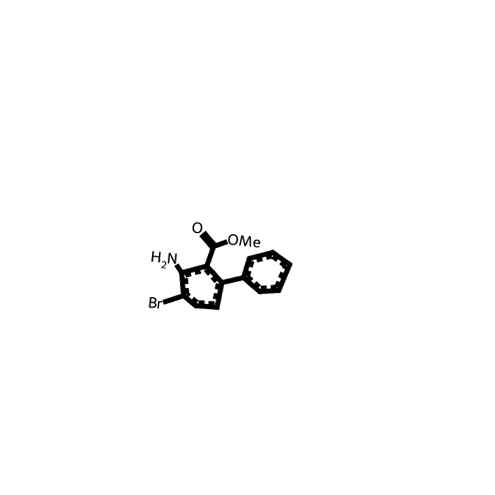 COC(=O)c1c(-c2ccccc2)ccc(Br)c1N